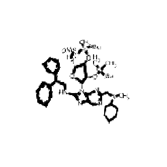 COC[C@H]1O[C@@H](n2c(NCC(c3ccccc3)c3ccccc3)nc3cnc(CN(C)C4CCCCC4)nc32)[C@H](O[Si](C)(C)C(C)(C)C)[C@@H]1O[Si](C)(C)C(C)(C)C